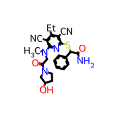 CCc1c(C#N)c(SC(C(N)=O)c2ccccc2)nc(N(C)CC(=O)N2CCC(O)C2)c1C#N